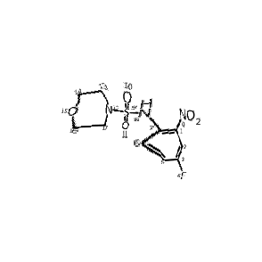 O=[N+]([O-])c1cc(F)ccc1NS(=O)(=O)N1CCOCC1